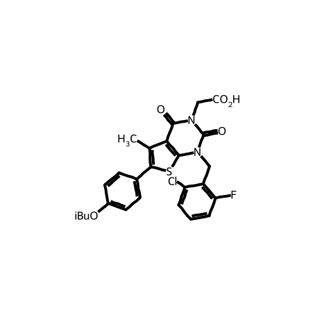 Cc1c(-c2ccc(OCC(C)C)cc2)sc2c1c(=O)n(CC(=O)O)c(=O)n2Cc1c(F)cccc1Cl